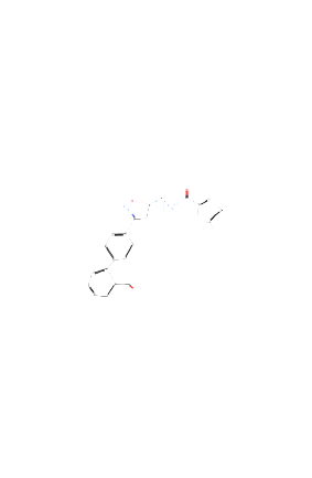 O=Cc1ccccc1-c1ccc(C2=NOC(CNC(=O)c3ccc(Cl)s3)C2)cc1